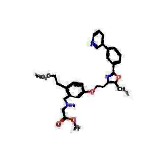 Cc1oc(-c2cccc(-c3cccnc3)c2)nc1CCOc1ccc(CCC(=O)O)c(CNCC(=O)OC(C)C)c1